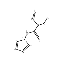 CCC(C=O)C(=O)On1cccc1